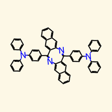 c1ccc(N(c2ccccc2)c2ccc(/C3=N/c4cc5ccccc5cc4/C(c4ccc(N(c5ccccc5)c5ccccc5)cc4)=N\c4cc5ccccc5cc43)cc2)cc1